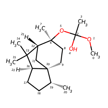 COC(C)(O)O[C@@]1(C)CC[C@@]23C[C@@H]1C(C)(C)[C@@H]2CC[C@H]3C